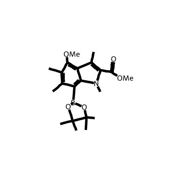 COC(=O)c1c(C)c2c(OC)c(C)c(C)c(B3OC(C)(C)C(C)(C)O3)c2n1C